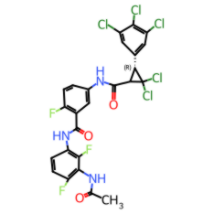 CC(=O)Nc1c(F)ccc(NC(=O)c2cc(NC(=O)C3[C@H](c4cc(Cl)c(Cl)c(Cl)c4)C3(Cl)Cl)ccc2F)c1F